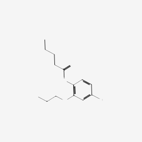 CCCCC(=O)Oc1ccc(Br)cc1OCCC